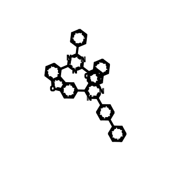 c1ccc(-c2ccc(-c3nc(-c4ccc5oc6cccc(-c7nc(-c8ccccc8)nc(-c8ccccc8)n7)c6c5c4)c4oc5ccccc5c4n3)cc2)cc1